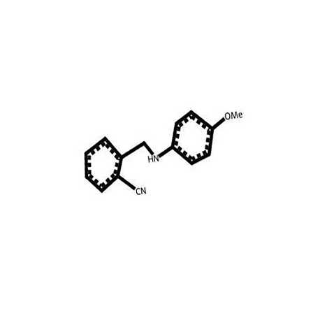 COc1ccc(NCc2ccccc2C#N)cc1